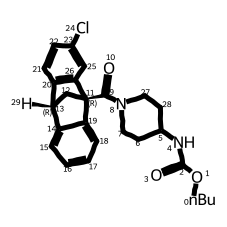 CCCCOC(=O)NC1CCN(C(=O)[C@]23C[C@H](c4ccccc42)c2ccc(Cl)cc23)CC1